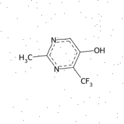 Cc1ncc(O)c(C(F)(F)F)n1